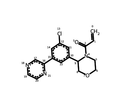 C=CC(=O)N1CCOCC1c1cc(Cl)cc(-c2cnccn2)c1